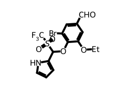 CCOc1cc(C=O)cc(Br)c1OC(c1ccc[nH]1)S(=O)(=O)C(F)(F)F